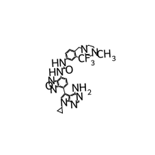 CN1CCN(Cc2ccc(NC(=O)Nc3ccc(-c4cn(C5CC5)c5ncnc(N)c45)c4nonc34)cc2C(F)(F)F)CC1